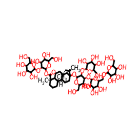 C=C1C[C@@]23CCC4[C@](C)(C(=O)OC5OC(CO)C(O)C(O)C5OC5OC(CO)C(O)C(O)C5O)CCC[C@@]4(C)[C@@H]2CCC1(OC1OC(CO)C(O)C(OC2OC(COC4OC(CO)C(O)C(O)C4O)C(O)C(O)C2O)C1OC1OC(CO)C(O)C(O)C1O)C3